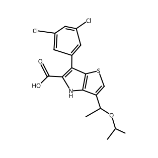 CC(C)OC(C)c1csc2c(-c3cc(Cl)cc(Cl)c3)c(C(=O)O)[nH]c12